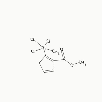 COC(=O)C1=[C]([Ti]([CH3])([Cl])([Cl])[Cl])CC=C1